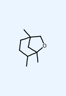 CC1CCC2(C)COC1(C)C2